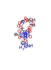 CC[C@H](C)[C@H](NC(=O)CCCCCN1C(=O)C=CC1=O)C(=O)N[C@@H](Cc1ccccc1)C(=O)N[C@@H](CCCNC(=N)N)C(=O)N[C@@H](C)C(=O)N[C@H]1C(=O)OC[C@]23CCC(C)=C[C@H]2O[C@@H]2C[C@@H](OC(=O)/C=C\C=C\C(=O)OCC[C@H]1C)[C@@]3(C)[C@]21CO1